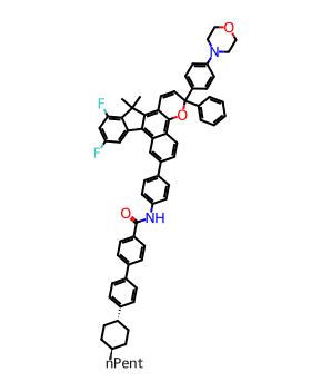 CCCCC[C@H]1CC[C@H](c2ccc(-c3ccc(C(=O)Nc4ccc(-c5ccc6c7c(c8c(c6c5)-c5cc(F)cc(F)c5C8(C)C)C=CC(c5ccccc5)(c5ccc(N6CCOCC6)cc5)O7)cc4)cc3)cc2)CC1